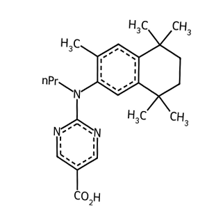 CCCN(c1ncc(C(=O)O)cn1)c1cc2c(cc1C)C(C)(C)CCC2(C)C